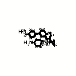 N[C@H]1CC[C@H](Nc2c(C3(C=O)CC3)cnc3ccc(-c4ccc(CO)cc4)cc23)CC1